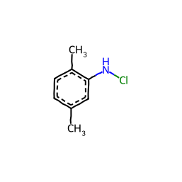 Cc1ccc(C)c(NCl)c1